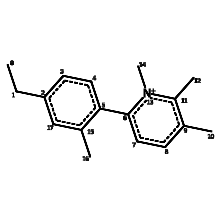 CCc1ccc(-c2ccc(C)c(C)[n+]2C)c(C)c1